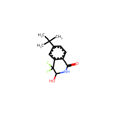 CC(C)(C)c1ccc2c(c1)C(F)(F)C(O)NC2=O